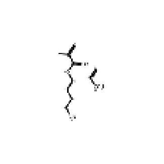 C=C(C)C(=O)OCCCCC#N.C=CC(=O)O